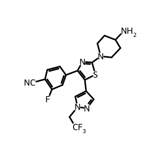 N#Cc1ccc(-c2nc(N3CCC(N)CC3)sc2-c2cnn(CC(F)(F)F)c2)cc1F